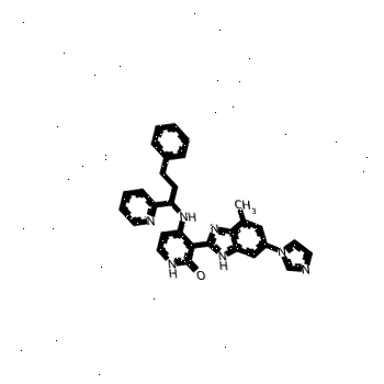 Cc1cc(-n2ccnc2)cc2[nH]c(-c3c(NC(CCc4ccccc4)c4ccccn4)cc[nH]c3=O)nc12